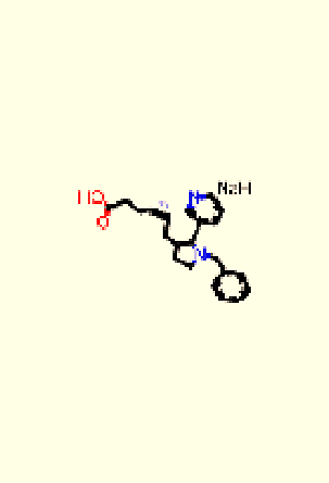 O=C(O)CC/C=C\CC1CCN(Cc2ccccc2)C1c1cccnc1.[NaH]